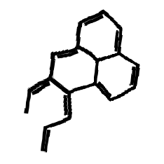 C=C/C=C1/C2=CC=CC3=CC=CC(=C/C1=C/C)C32